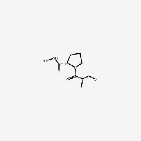 CC(CS)C(=O)N1CCC[C@H]1C(=O)NO